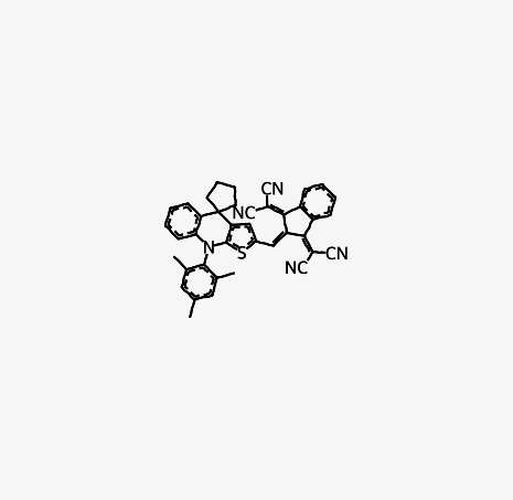 Cc1cc(C)c(N2c3ccccc3C3(CCCC3)c3cc(C=C4C(=C(C#N)C#N)c5ccccc5C4=C(C#N)C#N)sc32)c(C)c1